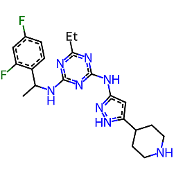 CCc1nc(Nc2cc(C3CCNCC3)[nH]n2)nc(NC(C)c2ccc(F)cc2F)n1